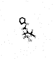 O=C(NC1CCCCC1)OC(C(F)(F)F)C(F)(F)S(=O)(=O)O